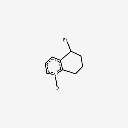 CCC1CCCc2c1ccc[n+]2[O-]